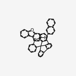 c1ccc2c(c1)Oc1ccccc1C21c2ccccc2-c2cccc(N(c3ccc4ccccc4c3)c3ccc4c(c3)oc3ccccc34)c21